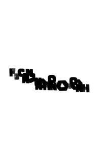 O=C(Nc1ccc([C@H]2CNCCO2)cc1)c1cnn(-c2cnc(C(F)(F)F)nc2)c1